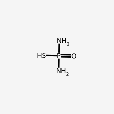 NP(N)(=O)S